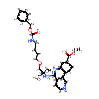 COC(=O)c1ccc2c(c1)nc(NC(C)(C)COCCCCNC(=O)OCc1ccccc1)c1ccncc12